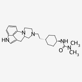 CN(C)C(=O)N[C@H]1CC[C@H](CCN2CCN3c4cccc5[nH]cc(c45)CC3C2)CC1